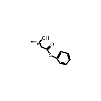 C[C@@H](O)CC(=O)Sc1ccccc1